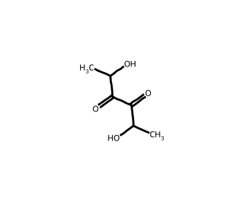 CC(O)C(=O)C(=O)C(C)O